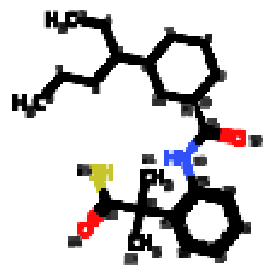 CCCC(CC)C1CCC[C@H](C(=O)Nc2ccccc2C(C)(C)C(=O)S)C1